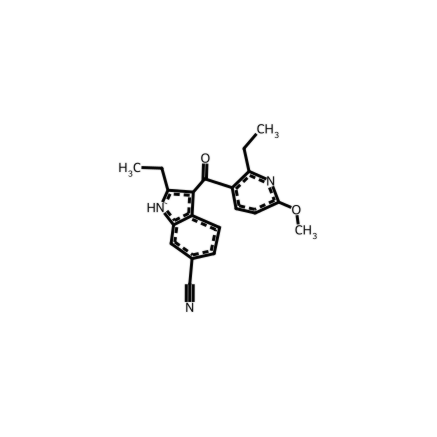 CCc1nc(OC)ccc1C(=O)c1c(CC)[nH]c2cc(C#N)ccc12